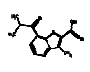 Cc1c(C(=O)O)sc2c(C(=O)C(C)C)cccc12